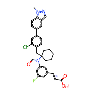 Cn1ncc2cc(-c3ccc(CC4(N(C=O)c5cc(F)cc(/C=C/C(=O)O)c5)CCCCC4)c(Cl)c3)ccc21